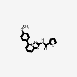 COc1ccc(-c2cccc3nc(NC(=O)c4ccco4)nn23)cc1